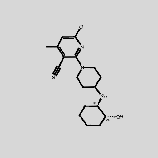 Cc1cc(Cl)nc(N2CCC(N[C@@H]3CCCC[C@H]3O)CC2)c1C#N